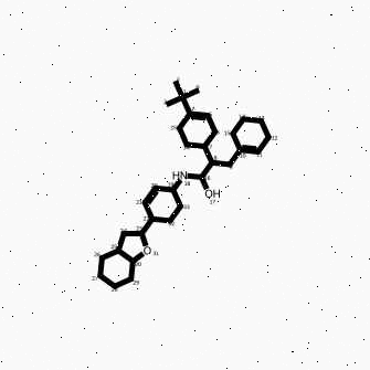 CC(C)(C)C1=CCC(C(CC2=CCCCC2)C(O)NC2C=CC(C3CC4CCCCC4O3)CC2)CC1